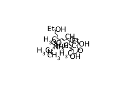 CCC(O)CCC(C)C(/C=C/C(C)C(=O)/C(C)=C/C=C/C(C)(O)CC1OC1C(C)C(O)CC)OC(=O)NCCN(C)C